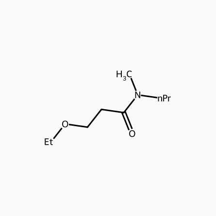 CCCN(C)C(=O)CCOCC